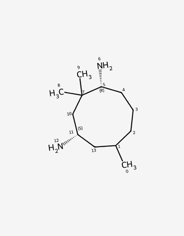 CC1CCC[C@@H](N)C(C)(C)C[C@@H](N)C1